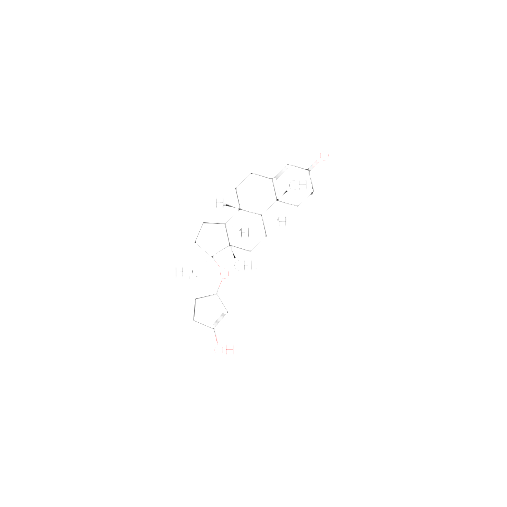 C[C@]12CCC(=O)C=C1CC[C@@H]1[C@@H]2CC[C@@]2(C)[C@H]1CC[C@]2(C)OC1C=C(O)CC1